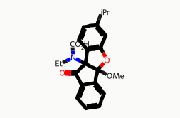 CCN(C(=O)O)C12C(=O)c3ccccc3C1(OC)Oc1cc(C(C)C)ccc12